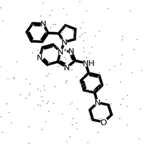 C1=C[N+]2(N3CCCC3c3ccccn3)N=C(Nc3ccc(N4CCOCC4)cc3)N=C2C=N1